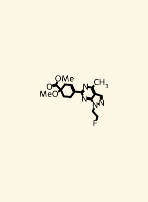 COC(=O)C1(OC)CC=C(c2nc(C)c3cnn(CCF)c3n2)CC1